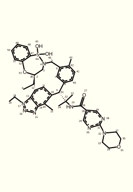 CC[C@@H]1CN(Cc2cc([C@@H](c3ccc4c(nnn4CC)c3C)C(C)(C)NC(=O)c3cnc(N4CCOCC4)nc3)ccc2C)S(O)(O)c2ccccc2O1